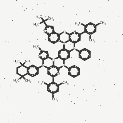 Cc1cc(C)c(-c2cc3c4c(n2)Oc2c(ccc5sc(C(C)(C)C)cc25)B4c2cc4c(cc2N3c2ccccc2)N(c2ccccc2)c2nc(-c3c(C)cc(C)cc3C)cc3c2B4c2cc(C)sc2N3c2ccc3c(c2)C(C)(N)CCC3(C)C)c(C)c1